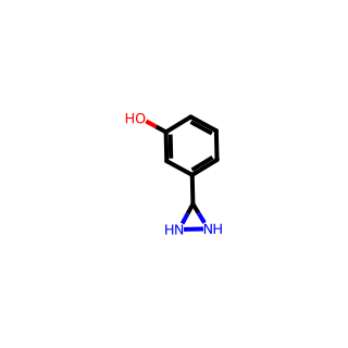 Oc1cccc(C2NN2)c1